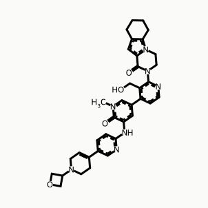 Cn1cc(-c2ccnc(N3CCn4c(cc5c4CCCC5)C3=O)c2CO)cc(Nc2ccc(C3=CCN(C4COC4)CC3)cn2)c1=O